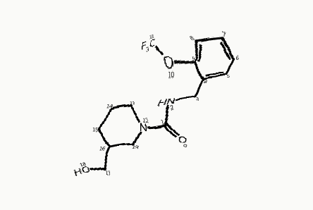 O=C(NCc1ccccc1OC(F)(F)F)N1CCCC(CO)C1